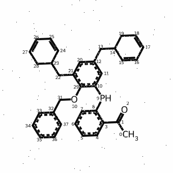 CC(=O)c1ccccc1Pc1cc(CC2C=CC=CC2)cc(CC2C=CC=CC2)c1OCc1ccccc1